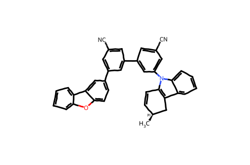 C[C@H]1C=Cc2c(c3ccccc3n2-c2cc(C#N)cc(-c3cc(C#N)cc(-c4ccc5oc6ccccc6c5c4)c3)c2)C1